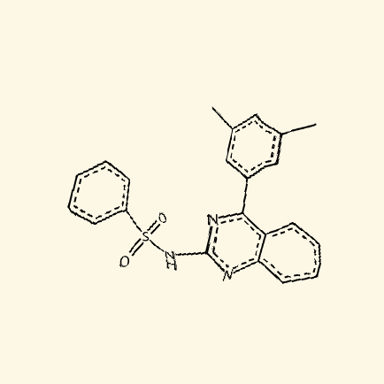 Cc1cc(C)cc(-c2nc(NS(=O)(=O)c3ccccc3)nc3ccccc23)c1